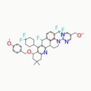 COCc1cnc(N2CCC(c3nc4c(c(C5CCC(F)(F)CC5)c3C(F)c3ccc(C(F)(F)F)cc3)C(OCc3ccc(OC)cc3)CC(C)(C)C4)CC2)nc1